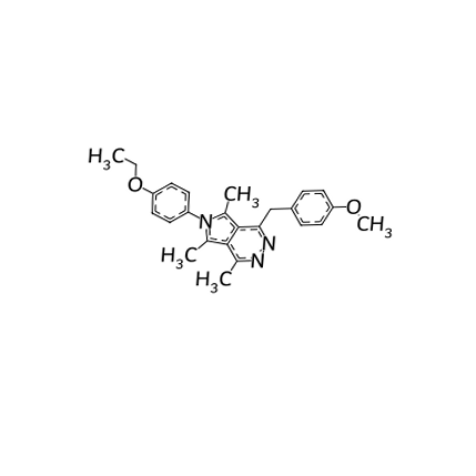 CCOc1ccc(-n2c(C)c3c(C)nnc(Cc4ccc(OC)cc4)c3c2C)cc1